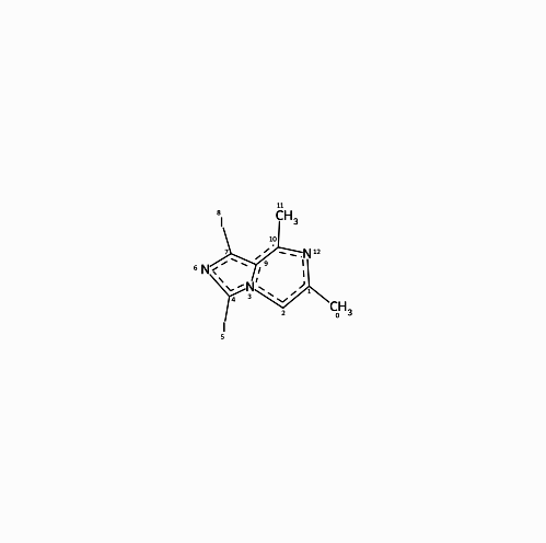 Cc1cn2c(I)nc(I)c2c(C)n1